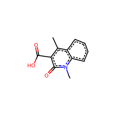 Cc1c(C(=O)O)c(=O)n(C)c2ccccc12